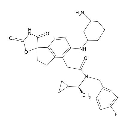 C[C@@H](C1CC1)N(Cc1ccc(F)cc1)C(=O)Cc1c(NC2CCCC(N)C2)ccc2c1CCC21OC(=O)NC1=O